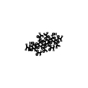 C=C(C)C(=O)OCC1O[C@@H](O[C@H]2C(O)C(OC(=O)C(C)=O)[C@H](O[C@@H]3C(COC(=O)C(=C)C)O[C@@H](O[C@H]4C(O)C(OC(=O)C(=C)C)[C@H](OC(=O)C(=C)C)O[C@H]4CO)[C@@H](OC(=O)C(=C)C)C3O)O[C@H]2COC(=O)C(=C)C)[C@@H](O)C(OC(=O)C(=C)C)[C@@H]1O